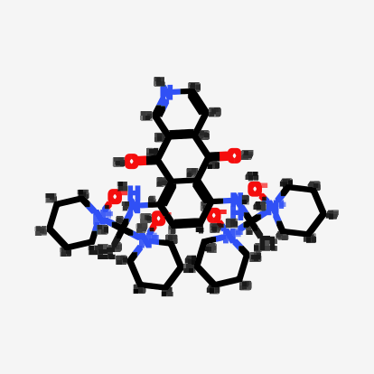 CCC(Nc1ccc(NC(CC)([N+]2([O-])CCCCC2)[N+]2([O-])CCCCC2)c2c1C(=O)c1ccncc1C2=O)([N+]1([O-])CCCCC1)[N+]1([O-])CCCCC1